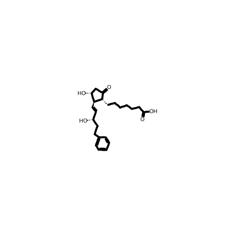 O=C(O)CCCCCC[C@H]1C(=O)C[C@@H](O)[C@@H]1/C=C/[C@@H](O)CCc1ccccc1